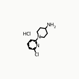 Cl.NC1CCN(c2cccc(Cl)n2)CC1